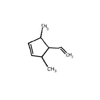 C=CC1C(C)C=CC1C